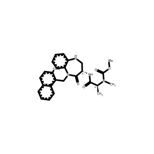 COc1ccc2ccccc2c1CN1C(=O)[C@@H](NC(=O)[C@H](C)N(C)C(=O)OC(C)(C)C)CNc2ccccc21